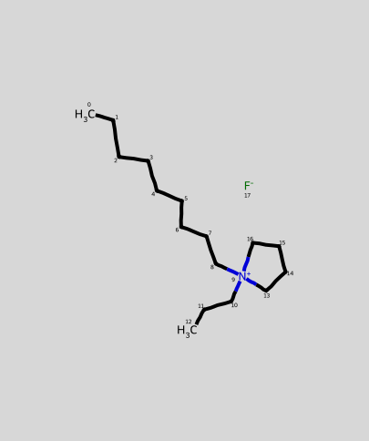 CCCCCCCCC[N+]1(CCC)CCCC1.[F-]